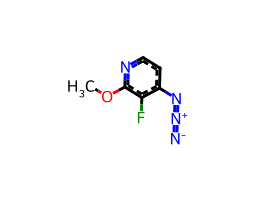 COc1nccc(N=[N+]=[N-])c1F